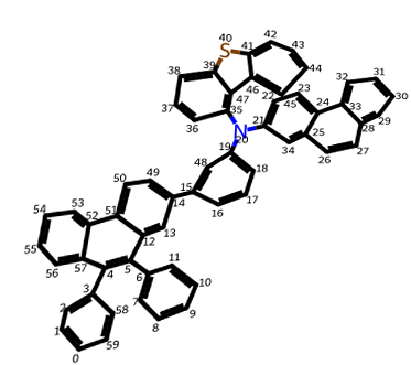 c1ccc(-c2c(-c3ccccc3)c3cc(-c4cccc(N(c5ccc6c(ccc7ccccc76)c5)c5cccc6sc7ccccc7c56)c4)ccc3c3ccccc23)cc1